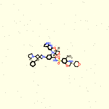 CC(C)c1ccccc1[C@@H]1CCCN1C1CC2(C1)CN(c1ccc(C(=O)NS(=O)(=O)c3cc4c(c([N+](=O)[O-])c3)N[C@H](C3CCOCC3)CO4)c(N3c4cc5cc[nH]c5nc4O[C@H]4COC[C@@H]43)c1)C2